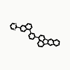 c1cnc(-c2ccc3c(-c4cccc(-c5ccc6c7c(cccc57)-c5cc7ccccc7cc5-6)c4)cccc3c2)nc1